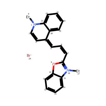 CCN1C=C/C(=C/C=C\c2oc3ccccc3[n+]2CC)c2ccccc21.[Br-]